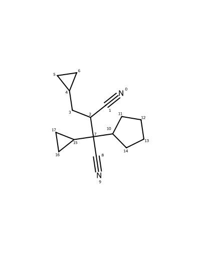 N#CC(CC1CC1)C(C#N)(C1CCCC1)C1CC1